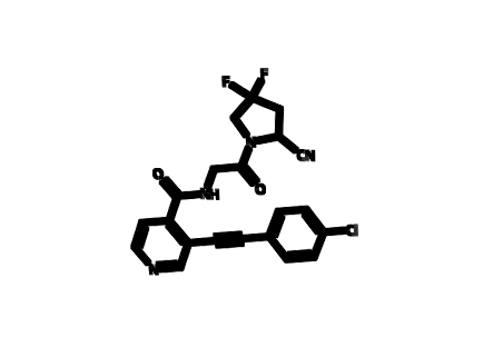 N#CC1CC(F)(F)CN1C(=O)CNC(=O)c1ccncc1C#Cc1ccc(Cl)cc1